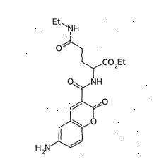 CCNC(=O)CCC(NC(=O)c1cc2cc(N)ccc2oc1=O)C(=O)OCC